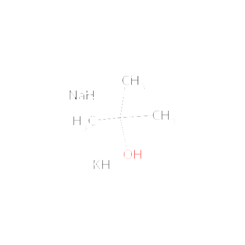 CC(C)(C)O.[KH].[NaH]